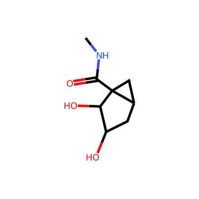 CNC(=O)C12CC1CC(O)C2O